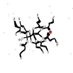 CC(OC(=O)C=CF)(OC(=O)C=CF)C(OC(=O)C=CF)(OC(=O)C=CF)C(OC(=O)C=CF)(OC(=O)C=CF)C(OC(=O)C=CF)OC(=O)C=CF